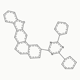 c1ccc(-c2nc(-c3ccccc3)nc(-c3ccc4ccc5cc6c(cc5c4c3)oc3ccccc36)n2)cc1